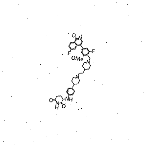 COc1cc(-c2cn(C)c(=O)c3ccc(F)cc23)cc(F)c1CN1CCC(CCN2CCC(c3ccc(NC4CCC(=O)NC4=O)cc3)CC2)CC1